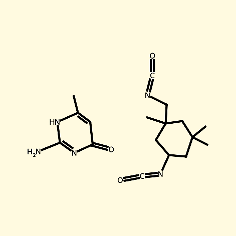 CC1(C)CC(N=C=O)CC(C)(CN=C=O)C1.Cc1cc(=O)nc(N)[nH]1